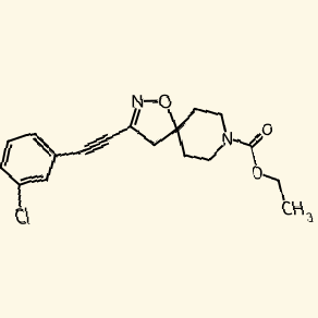 CCOC(=O)N1CCC2(CC1)CC(C#Cc1cccc(Cl)c1)=NO2